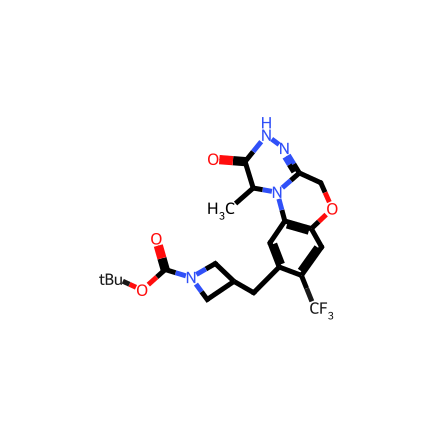 CC1C(=O)NN=C2COc3cc(C(F)(F)F)c(CC4CN(C(=O)OC(C)(C)C)C4)cc3N21